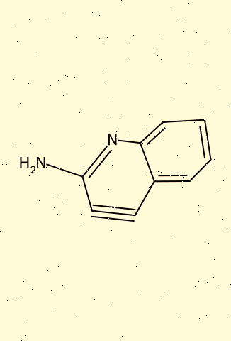 Nc1c#cc2ccccc2n1